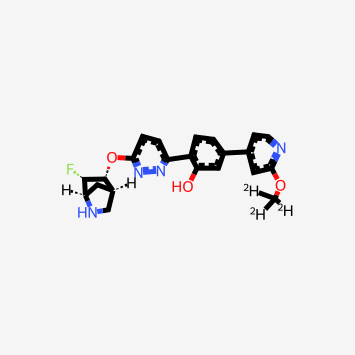 [2H]C([2H])([2H])Oc1cc(-c2ccc(-c3ccc(O[C@@H]4[C@H]5CN[C@H](C5)[C@@H]4F)nn3)c(O)c2)ccn1